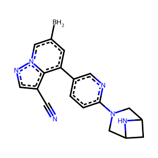 Bc1cc(-c2ccc(N3CC4CC(C3)N4)nc2)c2c(C#N)cnn2c1